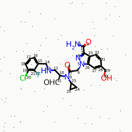 NC(=O)c1nn(CC(=O)N(C(C=O)CNCc2cccc(Cl)c2F)C2CC2)c2cc(CO)ccc12